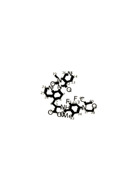 COC(=O)C(Cc1ccc(-n2c(=O)c3ccncc3n(C)c2=O)c2ncccc12)NC(=O)c1c(C)cc(N2CCOCC2C(F)(F)F)cc1F